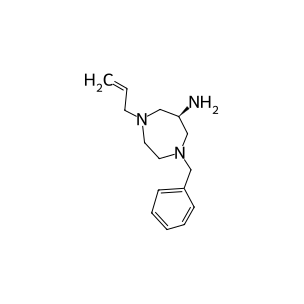 C=CCN1CCN(Cc2ccccc2)C[C@H](N)C1